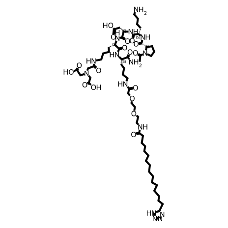 CC(=O)N1CCC[C@H]1C(=O)N[C@@H](CCCCN)C(=O)N[C@@H](CC(=O)O)C(=O)N[C@@H](CCCCNC(=O)CN(CC(=O)O)CC(=O)O)C(=O)N[C@@H](CCCCNC(=O)COCCOCCNC(=O)CCCCCCCCCCCCCCCc1nnn[nH]1)C(N)=O